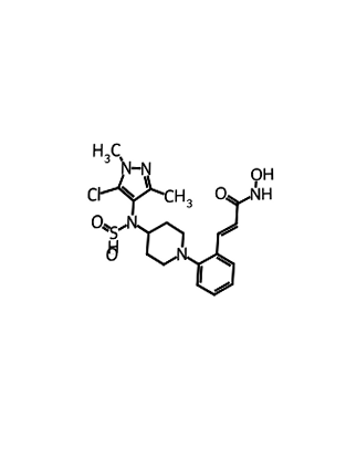 Cc1nn(C)c(Cl)c1N(C1CCN(c2ccccc2/C=C/C(=O)NO)CC1)[SH](=O)=O